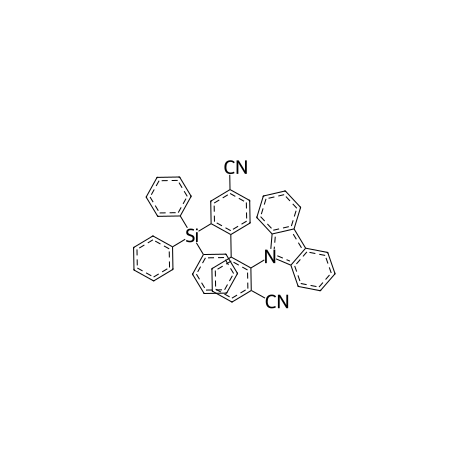 N#Cc1ccc(-c2cccc(C#N)c2-n2c3ccccc3c3ccccc32)c([Si](c2ccccc2)(c2ccccc2)c2ccccc2)c1